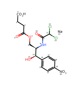 O=C(O)CCC(=O)OC[C@@H](NC(=O)C(Cl)Cl)[C@H](O)c1ccc([N+](=O)[O-])cc1.[Na]